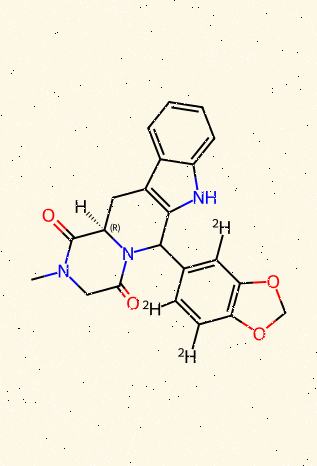 [2H]c1c([2H])c(C2c3[nH]c4ccccc4c3C[C@@H]3C(=O)N(C)CC(=O)N23)c([2H])c2c1OCO2